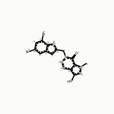 CCCc1nn(C)c2c(=O)n(Cc3cc4cc(Br)cc(Br)c4o3)nnc12